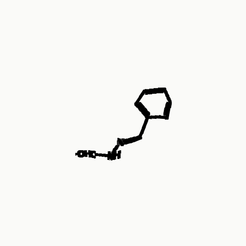 O=[C]NN=Cc1ccccc1